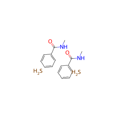 CNC(=O)c1ccccc1.CNC(=O)c1ccccc1.S.S